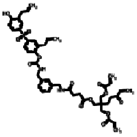 C=CCc1cc(S(=O)(=O)c2ccc(OC(=O)NCc3cccc(CNC(=O)CCC(=O)OCC(CCC(=O)C=C)(COC(=O)C=C)COC(=O)C=C)c3)c(CC=C)c2)ccc1O